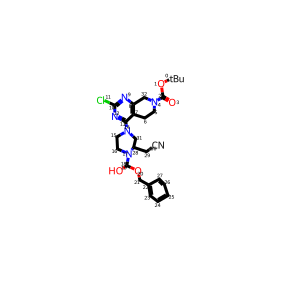 CC(C)(C)OC(=O)N1CCc2c(nc(Cl)nc2N2CCN(C(O)OCc3ccccc3)C(CC#N)C2)C1